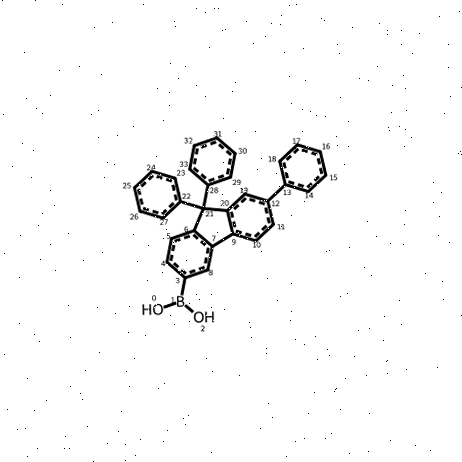 OB(O)c1ccc2c(c1)-c1ccc(-c3ccccc3)cc1C2(c1ccccc1)c1ccccc1